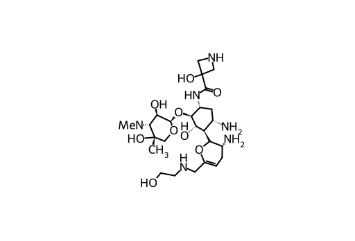 CN[C@@H]1[C@@H](O)[C@@H](O[C@@H]2[C@@H](O)[C@H](C3OC(CNCCO)=CC[C@H]3N)[C@@H](N)C[C@H]2NC(=O)C2(O)CNC2)OC[C@]1(C)O